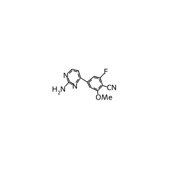 COc1cc(-c2ccnc(N)n2)cc(F)c1C#N